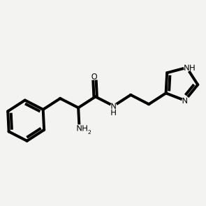 NC(Cc1ccccc1)C(=O)NCCc1c[nH]cn1